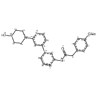 COc1ccc(CC(=O)Nc2cc(-c3ccnc(N4CCC(O)CC4)c3)ccn2)cc1